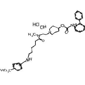 CN(CCN1CCC(OC(=O)Nc2ccccc2-c2ccccc2)CC1)C(=O)CCCCCNc1ccc(C(=O)O)cc1.Cl.Cl